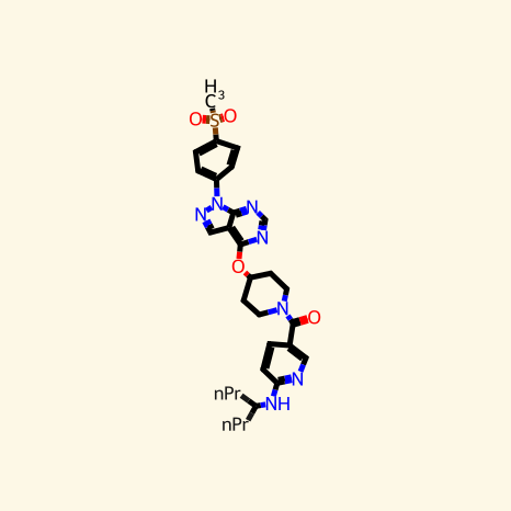 CCCC(CCC)Nc1ccc(C(=O)N2CCC(Oc3ncnc4c3cnn4-c3ccc(S(C)(=O)=O)cc3)CC2)cn1